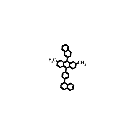 Cc1ccc2c(-c3ccc(-c4cccc5ccccc45)cc3)c3ccc(C(F)(F)F)cc3c(-c3ccc4ccccc4c3)c2c1